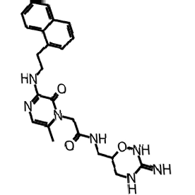 Cc1cnc(NCCc2cccc3ccccc23)c(=O)n1CC(=O)NCC1CNC(=N)NO1